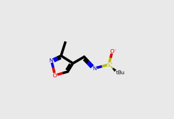 Cc1nocc1/C=N/[S@@+]([O-])C(C)(C)C